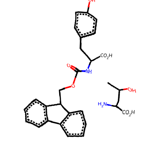 CC(O)C(N)C(=O)O.O=C(NC(Cc1ccc(O)cc1)C(=O)O)OCC1c2ccccc2-c2ccccc21